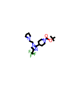 CC(C)(C)OC(=O)N1CCC(c2nc(C(F)(F)F)cn2CCN2CCCC2)CC1